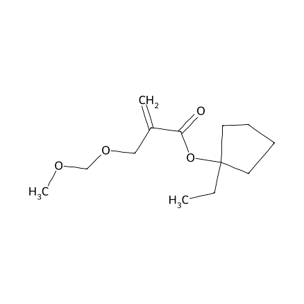 C=C(COCOC)C(=O)OC1(CC)CCCC1